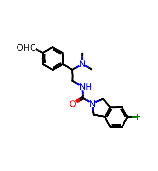 CN(C)C(CNC(=O)N1Cc2ccc(F)cc2C1)c1ccc(C=O)cc1